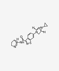 O=C(N[C@H]1CN2CCC1CC2)c1nsc2cc(N3C[C@@H]4C[C@H]3CN4C3CC3)ccc12